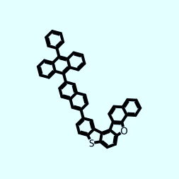 c1ccc(-c2c3ccccc3c(-c3ccc4cc(-c5ccc6sc7ccc8oc9c%10ccccc%10ccc9c8c7c6c5)ccc4c3)c3ccccc23)cc1